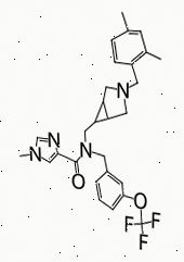 Cc1ccc(CN2CC3C(C2)C3CN(Cc2cccc(OC(F)(F)F)c2)C(=O)c2cn(C)cn2)c(C)c1